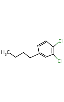 CCCCc1ccc(Cl)c(Cl)c1